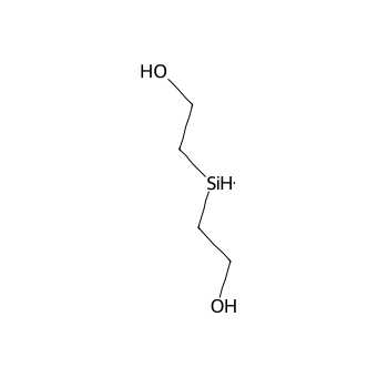 OCC[SiH]CCO